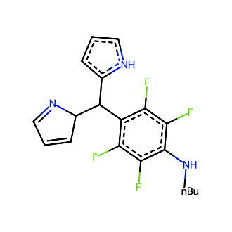 CCCCNc1c(F)c(F)c(C(c2ccc[nH]2)C2C=CC=N2)c(F)c1F